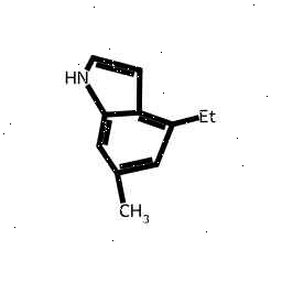 CCc1cc(C)cc2[nH]ccc12